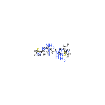 CCCC(N=C(N)NCCCNC(N)=NC(CCC)c1nccs1)c1nccs1